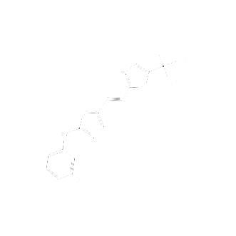 CC(C)(C)c1cnc(C=Cc2cnc(Nc3cccc(Cl)c3)s2)o1